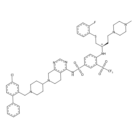 CN1CCN(CC[C@H](CSc2ccccc2F)Nc2ccc(S(=O)(=O)Nc3ncnc4c3CCN(C3CCN(Cc5cc(Cl)ccc5-c5ccccc5)CC3)C4)cc2S(=O)(=O)C(F)(F)F)CC1